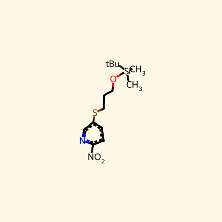 CC(C)(C)[Si](C)(C)OCCCSc1ccc([N+](=O)[O-])nc1